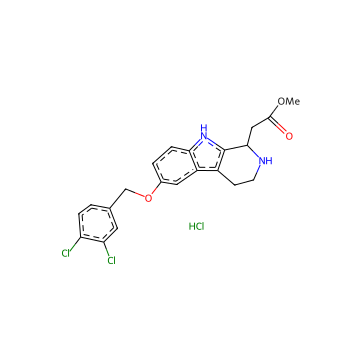 COC(=O)CC1NCCc2c1[nH]c1ccc(OCc3ccc(Cl)c(Cl)c3)cc21.Cl